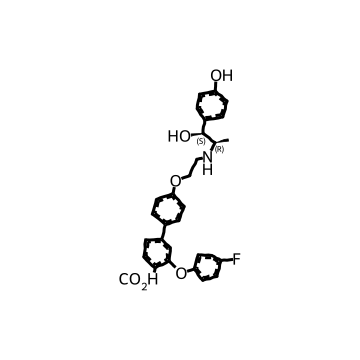 C[C@@H](NCCOc1ccc(-c2ccc(C(=O)O)c(Oc3ccc(F)cc3)c2)cc1)[C@@H](O)c1ccc(O)cc1